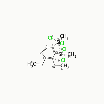 CCc1ccc([Si](C)(Cl)Cl)c([Si](C)(Cl)Cl)c1CC